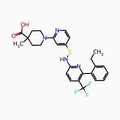 CCc1ccccc1-c1nc(NSc2ccnc(N3CCC(C)(C(=O)O)CC3)c2)ccc1C(F)(F)F